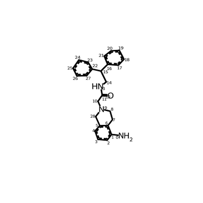 Nc1cccc2c1CCN(CC(=O)NCC(c1ccccc1)c1ccccc1)C2